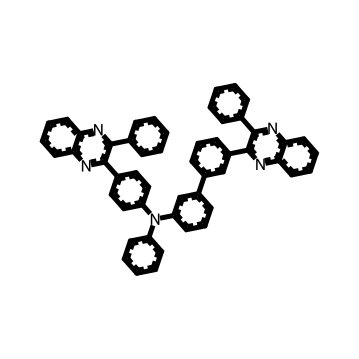 c1ccc(-c2nc3ccccc3nc2-c2ccc(N(c3ccccc3)c3cccc(-c4cccc(-c5nc6ccccc6nc5-c5ccccc5)c4)c3)cc2)cc1